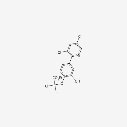 CCOC(=O)C(C)(Cl)Oc1ccc(-c2ncc(Cl)cc2Cl)cc1O